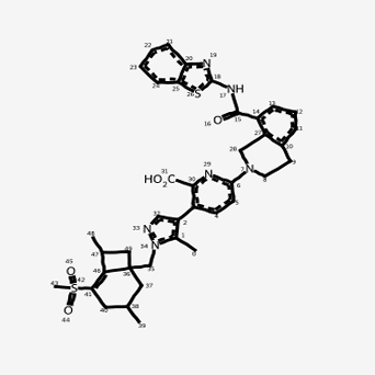 Cc1c(-c2ccc(N3CCc4cccc(C(=O)Nc5nc6ccccc6s5)c4C3)nc2C(=O)O)cnn1CC12CC(C)CC(S(C)(=O)=O)=C1C(C)C2